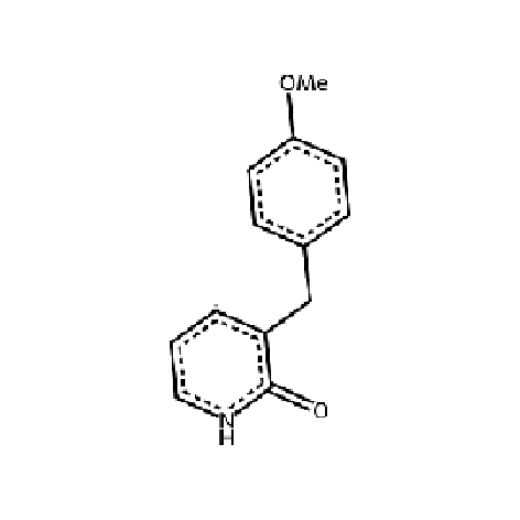 COc1ccc(Cc2[c]cc[nH]c2=O)cc1